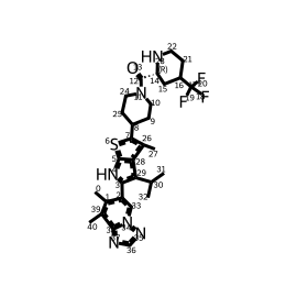 Cc1c(-c2[nH]c3sc(C4CCN(C(=O)[C@H]5CC(C(F)(F)F)CCN5)CC4)c(C)c3c2C(C)C)cn2ncnc2c1C